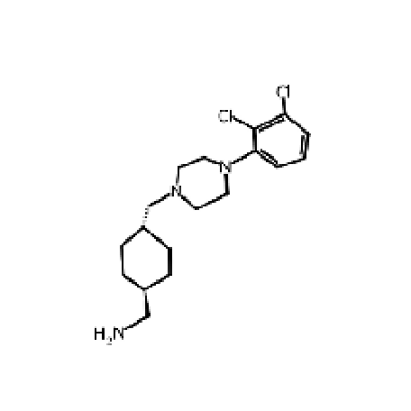 NC[C@H]1CC[C@H](CN2CCN(c3cccc(Cl)c3Cl)CC2)CC1